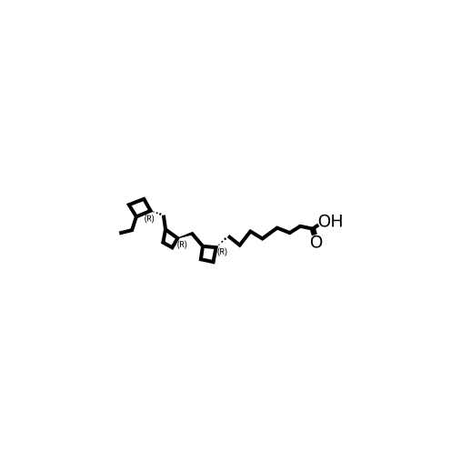 CCC1CC[C@@H]1CC1CC[C@@H]1CC1CC[C@H]1CCCCCCCC(=O)O